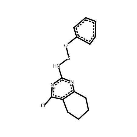 Clc1nc(NSOc2ccccc2)nc2c1CCCC2